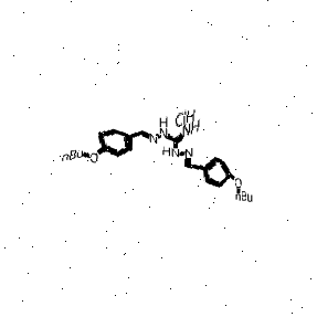 CCCCOc1ccc(/C=N/NC(=N)N/N=C/c2ccc(OCCCC)cc2)cc1.Cl